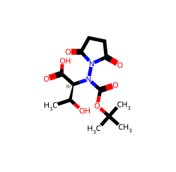 CC(O)[C@@H](C(=O)O)N(C(=O)OC(C)(C)C)N1C(=O)CCC1=O